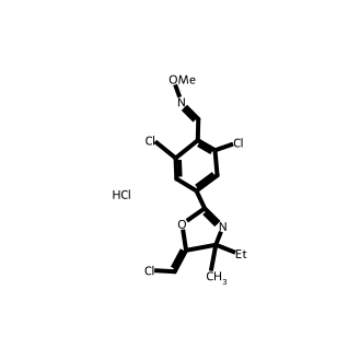 CCC1(C)N=C(c2cc(Cl)c(C=NOC)c(Cl)c2)OC1=CCl.Cl